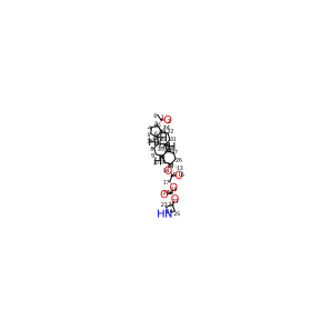 CC(=O)[C@H]1CC[C@H]2[C@@H]3CC[C@H]4C[C@](C)(OC(=O)COC(=O)OC5CNC5)CC[C@]4(C)[C@H]3CC[C@]12C